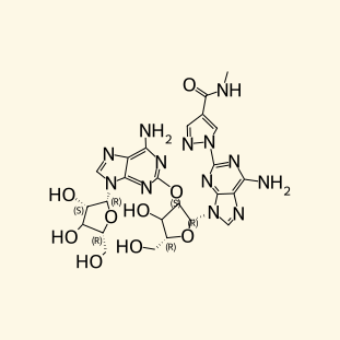 CNC(=O)c1cnn(-c2nc(N)c3ncn([C@@H]4O[C@H](CO)C(O)[C@@H]4Oc4nc(N)c5ncn([C@@H]6O[C@H](CO)C(O)[C@@H]6O)c5n4)c3n2)c1